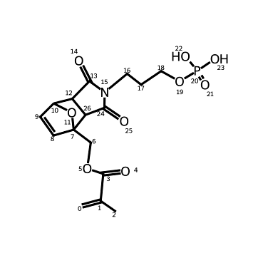 C=C(C)C(=O)OCC12C=CC(O1)C1C(=O)N(CCCOP(=O)(O)O)C(=O)C12